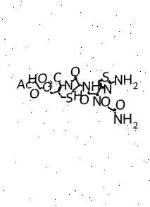 CC(=O)CC(=O)OCC1=C(C(=O)O)N2C(=O)[C@@H](NC(=O)/C(=N/OCC(N)=O)c3csc(N)n3)[C@H]2SC1